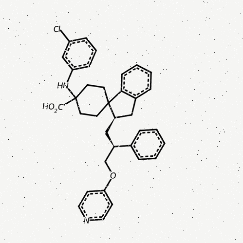 O=C(O)C1(Nc2cccc(Cl)c2)CCC2(CC1)c1ccccc1C[C@H]2C[C@H](COc1ccncc1)c1ccccc1